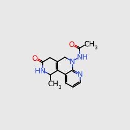 CC(=O)NN1CC2=C(c3cccnc31)C(C)NC(=O)C2